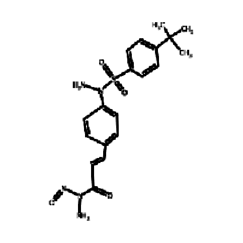 CC(C)(C)c1ccc(S(=O)(=O)N(N)c2ccc(/C=C/C(=O)N(N)N=O)cc2)cc1